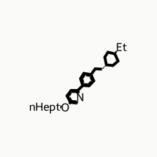 CCCCCCCOc1ccc(-c2ccc(CC[C@H]3CC[C@H](CC)CC3)cc2)nc1